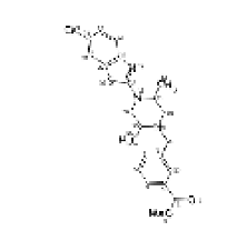 COC(=O)c1cccc(CN2CC(C)N(c3nc4ccc(Cl)cc4s3)CC2C)c1